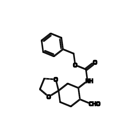 O=CC1CCC2(CC1NC(=O)OCc1ccccc1)OCCO2